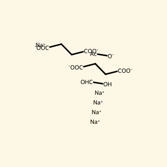 CC(=O)[O-].O=C([O-])CCC(=O)[O-].O=C([O-])CCC(=O)[O-].O=CO.[Na+].[Na+].[Na+].[Na+].[Na+]